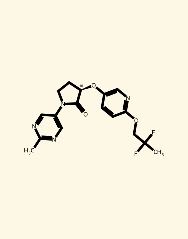 Cc1ncc(N2CC[C@@H](Oc3ccc(OCC(C)(F)F)nc3)C2=O)cn1